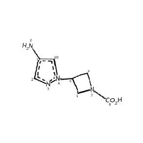 Nc1cnn(C2CN(C(=O)O)C2)c1